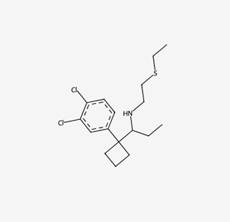 CCSCCNC(CC)C1(c2ccc(Cl)c(Cl)c2)CCC1